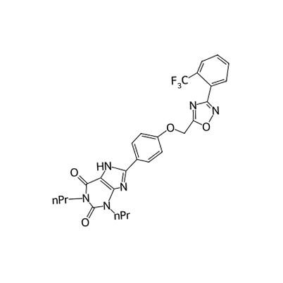 CCCn1c(=O)c2[nH]c(-c3ccc(OCc4nc(-c5ccccc5C(F)(F)F)no4)cc3)nc2n(CCC)c1=O